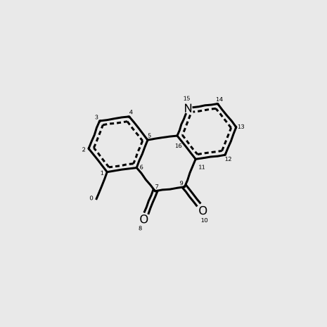 Cc1cccc2c1C(=O)C(=O)c1cccnc1-2